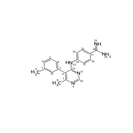 [CH2]c1cccc(-c2c(C)n[c]nc2Nc2ccc(C(=N)N)cc2)c1